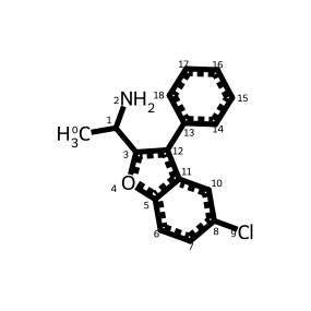 CC(N)c1oc2ccc(Cl)cc2c1-c1ccccc1